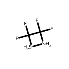 FC1(F)[SiH2][SiH2]C1(F)F